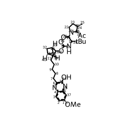 COc1ccc2nc(CCCCC[C@H]3C(OC(=O)NC(C(=O)N4CC[C@@H](C)[C@H]4C(C)=O)C(C)(C)C)[C@H]4C[C@@H]3C4)c(O)nc2c1